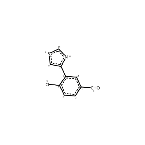 O=Cc1ccc(Cl)c(-c2cscn2)c1